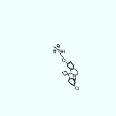 CS(=O)(=O)NCCOc1ccc2c(c1)C(C1(c3ccc(Cl)cc3)CCC1)NCC2